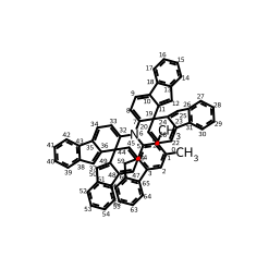 Cc1cc2c(c(N(C3=CC=C4C(=Cc5ccccc54)C34C=CC=C3C4=Cc4ccccc43)C3=CC=C4C(=Cc5ccccc54)C34C=CC=C3C4=Cc4ccccc43)c1C)Cc1ccccc1-2